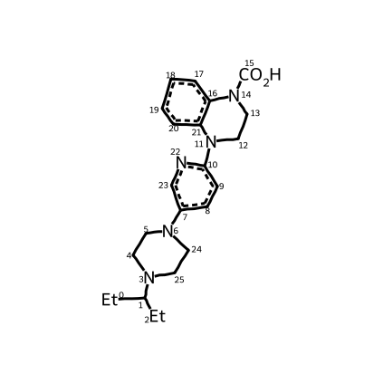 CCC(CC)N1CCN(c2ccc(N3CCN(C(=O)O)c4ccccc43)nc2)CC1